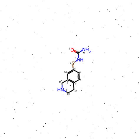 NC(=O)NSc1ccc2c(c1)CNCC2